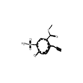 C#Cc1cc(Cl)c(S(N)(=O)=O)cc1C(=O)OC